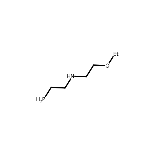 CCOCCNCCP